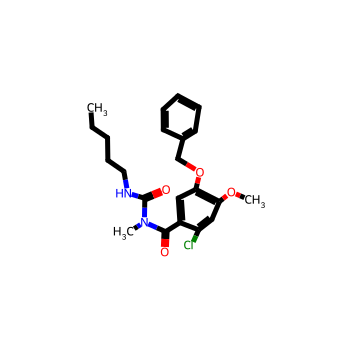 CCCCCNC(=O)N(C)C(=O)c1cc(OCc2ccccc2)c(OC)cc1Cl